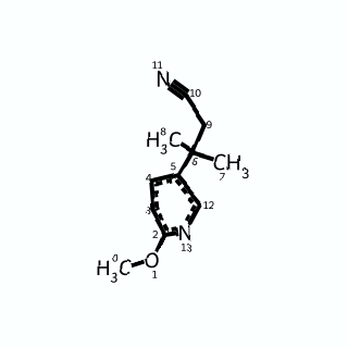 COc1ccc(C(C)(C)CC#N)cn1